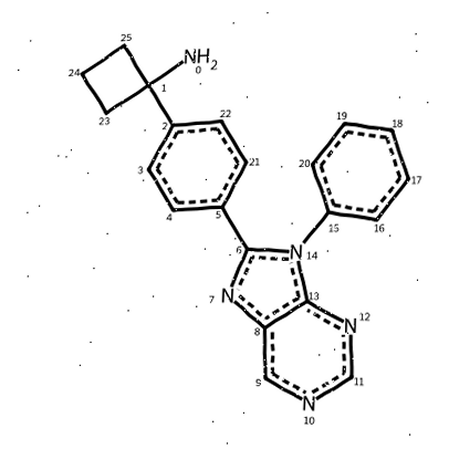 NC1(c2ccc(-c3nc4cncnc4n3-c3ccccc3)cc2)CCC1